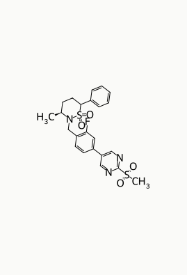 C[C@H]1CCC(c2ccccc2)S(=O)(=O)N1Cc1ccc(-c2cnc(S(C)(=O)=O)nc2)cc1F